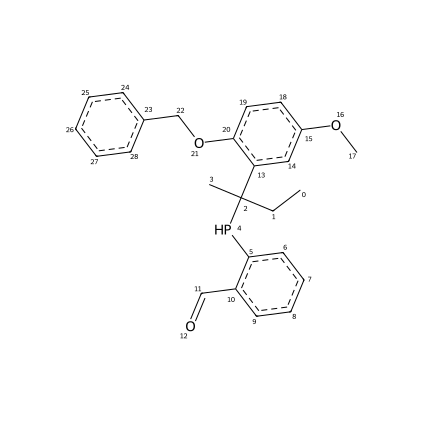 CCC(C)(Pc1ccccc1C=O)c1cc(OC)ccc1OCc1ccccc1